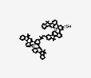 CC(C)(C)c1cc2c3c(c1)-c1cccc4c5c(cc(c14)B3c1cc3c(c4cccc-2c14)C(C)(C)c1ccccc1-3)-c1cc(CC(C)(C)c2cc3c4c(c2)-c2cc6c(c7cccc(c27)B4c2cccc4c7c(cc-3c24)C(C)(C)c2ccccc2-7)-c2ccccc2C6(C)C)ccc1C5(C)C